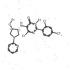 CCO[C@@H]1CN(c2ccccn2)C[C@H]1Nc1c(CC)nc(-c2ccc(C(F)(F)F)cc2Cl)n(CC)c1=O